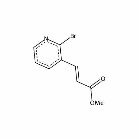 COC(=O)C=Cc1cccnc1Br